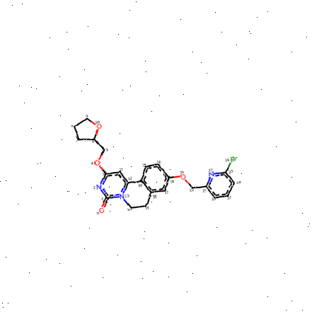 O=c1nc(OCC2CCCO2)cc2n1CCc1cc(OCc3cccc(Br)n3)ccc1-2